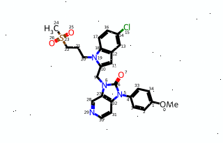 COc1ccc(-n2c(=O)n(Cc3cc4cc(Cl)ccc4n3CCCS(C)(=O)=O)c3cnccc32)cc1